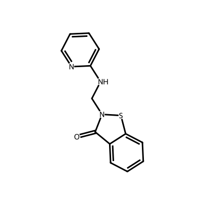 O=c1c2ccccc2sn1CNc1ccccn1